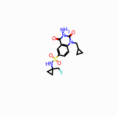 Nn1c(=O)c2cc(S(=O)(=O)NC3(CF)CC3)ccc2n(CC2CC2)c1=O